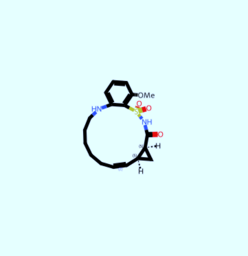 COc1cccc2c1S(=O)(=O)NC(=O)[C@H]1C[C@H]1/C=C\CCCCCN2